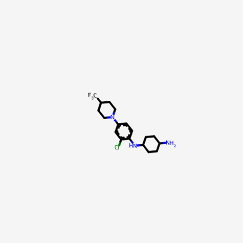 NC1CCC(Nc2ccc(N3CCC(C(F)(F)F)CC3)cc2Cl)CC1